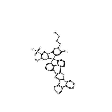 Cc1cc2c(cc1SOOO)-c1cc(S(=O)(=O)O)c(C)cc1C21c2cccc3c4nc5c6ccccc6c6ccccc6c5nc4c4cccc1c4c23